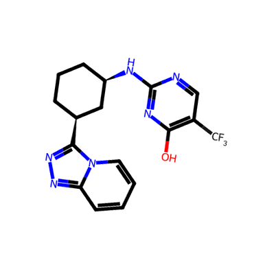 Oc1nc(N[C@@H]2CCC[C@H](c3nnc4ccccn34)C2)ncc1C(F)(F)F